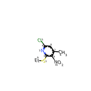 CCSc1nc(Cl)cc(C)c1[N+](=O)[O-]